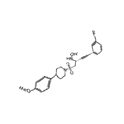 COc1ccc(C2CCN(S(=O)(=O)CC(C#Cc3cccc(F)c3)NO)CC2)cc1